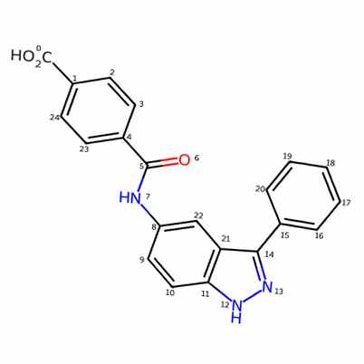 O=C(O)c1ccc(C(=O)Nc2ccc3[nH]nc(-c4ccccc4)c3c2)cc1